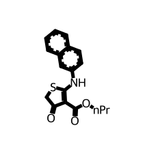 CCCOC(=O)C1=C(Nc2ccc3ccccc3c2)SCC1=O